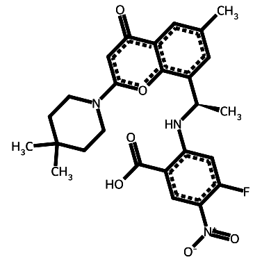 Cc1cc([C@@H](C)Nc2cc(F)c([N+](=O)[O-])cc2C(=O)O)c2oc(N3CCC(C)(C)CC3)cc(=O)c2c1